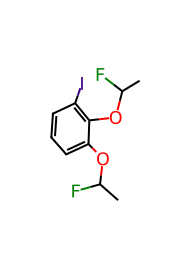 CC(F)Oc1cccc(I)c1OC(C)F